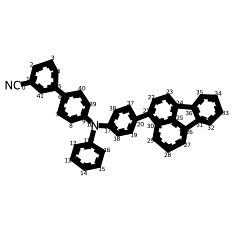 N#Cc1cccc(-c2ccc(N(c3ccccc3)c3ccc(-c4ccc5c6c(cccc46)-c4ccccc4-5)cc3)cc2)c1